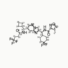 Cc1nonc1C(=O)N[C@H](c1cn2ncc([C@H](NC(=O)CCC(F)(F)F)C3CCC3)cc2n1)C1CCC(F)(F)CC1